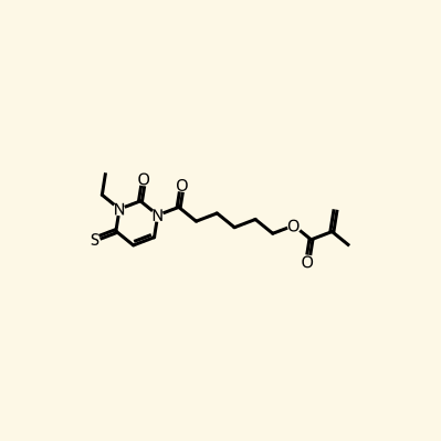 C=C(C)C(=O)OCCCCCC(=O)n1ccc(=S)n(CC)c1=O